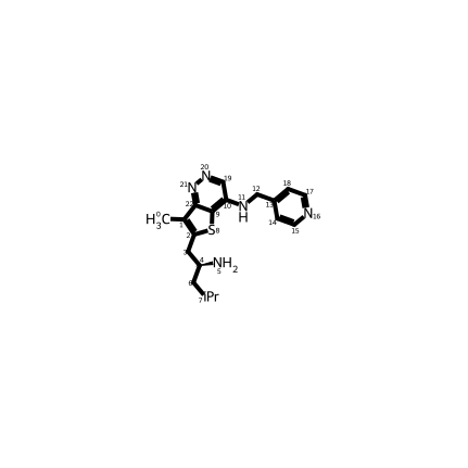 Cc1c(C[C@@H](N)CC(C)C)sc2c(NCc3ccncc3)cnnc12